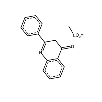 CC(=O)O.O=C1CC(c2ccccc2)=Nc2ccccc21